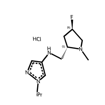 CC(C)n1cc(NC[C@@H]2C[C@@H](F)CN2C)cn1.Cl